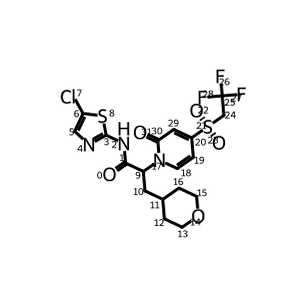 O=C(Nc1ncc(Cl)s1)C(CC1CCOCC1)n1ccc(S(=O)(=O)CC(F)(F)F)cc1=O